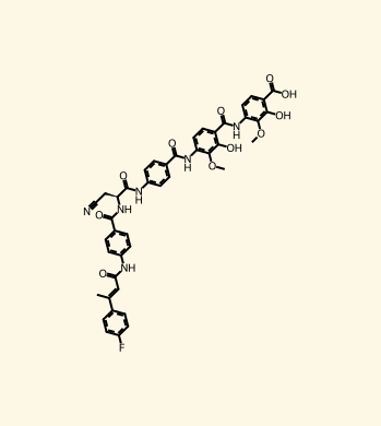 COc1c(NC(=O)c2ccc(NC(=O)c3ccc(NC(=O)[C@H](CC#N)NC(=O)c4ccc(NC(=O)/C=C(\C)c5ccc(F)cc5)cc4)cc3)c(OC)c2O)ccc(C(=O)O)c1O